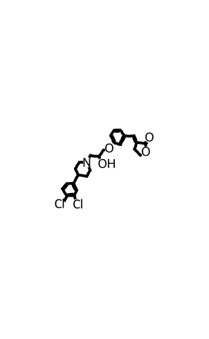 O=C1OCC/C1=C\c1cccc(OCC(O)CN2CCC(c3ccc(Cl)c(Cl)c3)CC2)c1